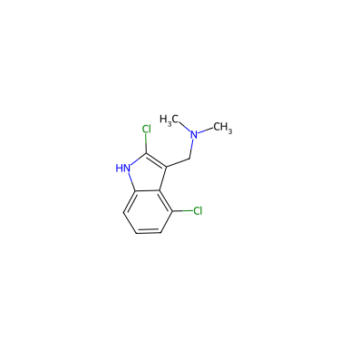 CN(C)Cc1c(Cl)[nH]c2cccc(Cl)c12